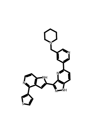 c1cc2[nH]c(-c3n[nH]c4ccc(-c5cncc(CN6CCCCC6)c5)nc34)cc2c(-c2ccsc2)n1